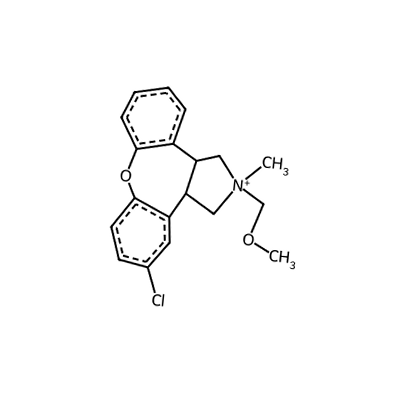 COC[N+]1(C)CC2c3ccccc3Oc3ccc(Cl)cc3C2C1